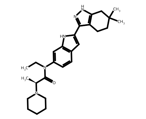 CCN(C(=O)[C@H](C)N1CCCCC1)c1ccc2cc(-c3n[nH]c4c3CCC(C)(C)C4)[nH]c2c1